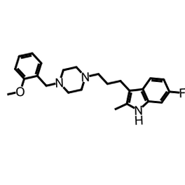 COc1ccccc1CN1CCN(CCCc2c(C)[nH]c3cc(F)ccc23)CC1